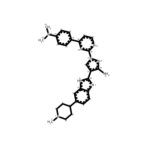 CN1CCC(c2ccc3nc(-c4cn(-c5nccc(-c6ccc(N(C)C)cc6)n5)nc4N)[nH]c3c2)CC1